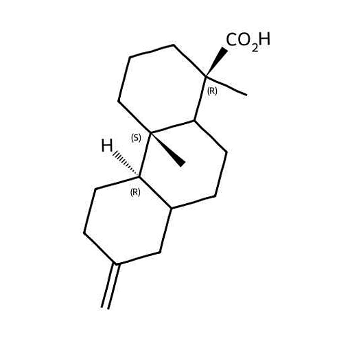 C=C1CC[C@@H]2C(CCC3[C@](C)(C(=O)O)CCC[C@]32C)C1